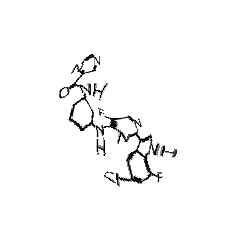 O=C(NC1CCCC(Nc2nc(-c3c[nH]c4c(F)cc(Cl)cc34)ncc2F)C1)c1cnccn1